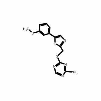 COc1cccc(-c2cnc(CSc3ncnc(N)n3)o2)c1